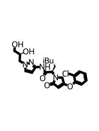 CC[C@@H](C)C[C@H](C(=O)Nc1ccn(C[C@@H](O)CO)n1)N1CC(Oc2ccccc2Cl)=CC1=O